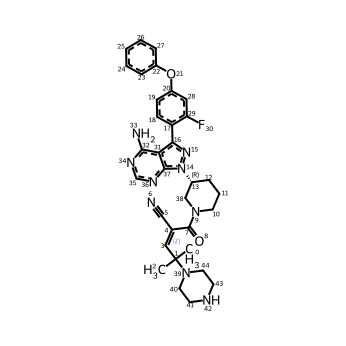 CC(C)(/C=C(/C#N)C(=O)N1CCC[C@@H](n2nc(-c3ccc(Oc4ccccc4)cc3F)c3c(N)ncnc32)C1)N1CCNCC1